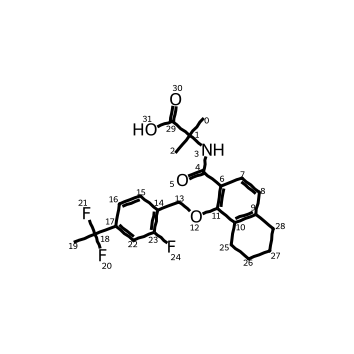 CC(C)(NC(=O)c1ccc2c(c1OCc1ccc(C(C)(F)F)cc1F)CCCC2)C(=O)O